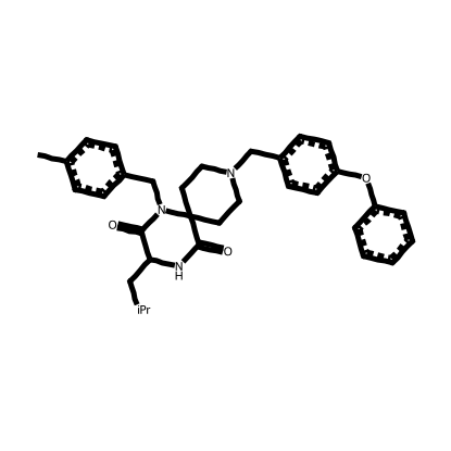 Cc1ccc(CN2C(=O)C(CC(C)C)NC(=O)C23CCN(Cc2ccc(Oc4ccccc4)cc2)CC3)cc1